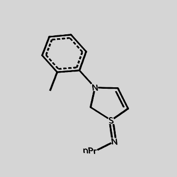 CCC/N=S1/C=CN(c2ccccc2C)C1